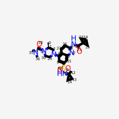 C[C@H]1CN(c2cc(S(=O)(=O)NC3(C)CC3)cc3nc(NC(=O)C45CC4C5)ccc23)CCN1C(=O)N(C)C